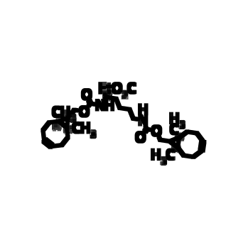 CCOC(=O)[C@@H](CCCCNC(=O)OCC1[C@]2(C)CCC#CCC[C@]12C)NC(=O)OC[C@@H]1[C@]2(C)CCC#CCC[C@]12C